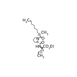 C=CCCCCC[C@H](C)C(=O)N1CCC[C@H]1C(=O)N[C@]1(C(=O)OCC)C[C@H]1C=C